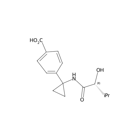 CC(C)[C@@H](O)C(=O)NC1(c2ccc(C(=O)O)cc2)CC1